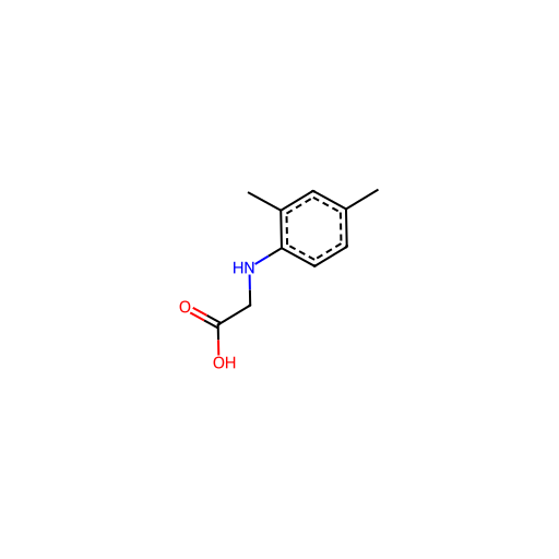 Cc1ccc(NCC(=O)O)c(C)c1